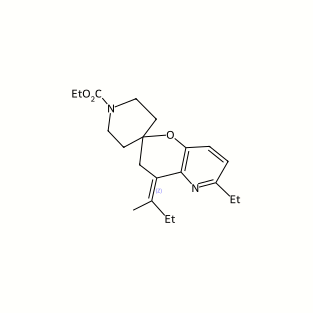 CCOC(=O)N1CCC2(CC1)C/C(=C(\C)CC)c1nc(CC)ccc1O2